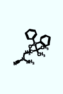 CC(C)(C)[Si](OCCN(N)C#N)(c1ccccc1)c1ccccc1